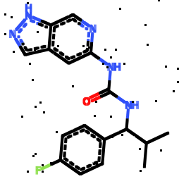 CC(C)C(NC(=O)Nc1cc2cn[nH]c2cn1)c1ccc(F)cc1